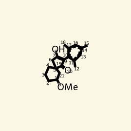 COC1CCCC2(CC(O)=C(c3c(C)cc(C)cc3C)C2=O)C1